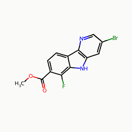 COC(=O)c1ccc2c([nH]c3cc(Br)cnc32)c1F